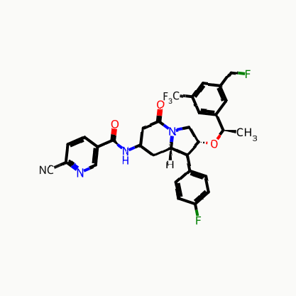 C[C@@H](O[C@H]1CN2C(=O)CC(NC(=O)c3ccc(C#N)nc3)C[C@H]2C1c1ccc(F)cc1)c1cc(CF)cc(C(F)(F)F)c1